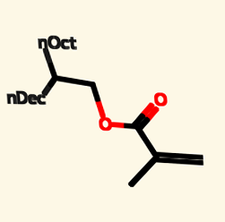 C=C(C)C(=O)OCC(CCCCCCCC)CCCCCCCCCC